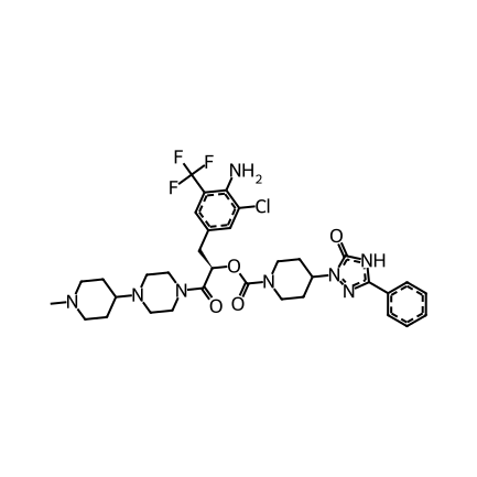 CN1CCC(N2CCN(C(=O)[C@@H](Cc3cc(Cl)c(N)c(C(F)(F)F)c3)OC(=O)N3CCC(n4nc(-c5ccccc5)[nH]c4=O)CC3)CC2)CC1